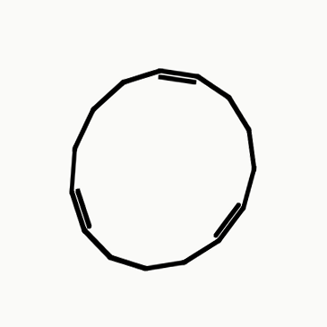 C1=CCCCC=CCCCC=CCCC1